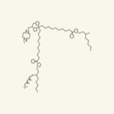 C=C=C=C=CC(CCCCC)CCOC(=O)CCCCCCCCCC1(CCCCCCCCCC(=O)OCCC(C)CCCCC)OCC(CN2CCN(C)CC2)O1